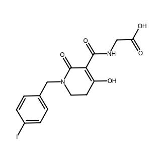 O=C(O)CNC(=O)C1=C(O)CCN(Cc2ccc(I)cc2)C1=O